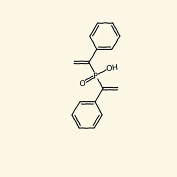 C=C(c1ccccc1)P(=O)(O)C(=C)c1ccccc1